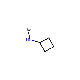 CC(=O)NC1[CH]CC1